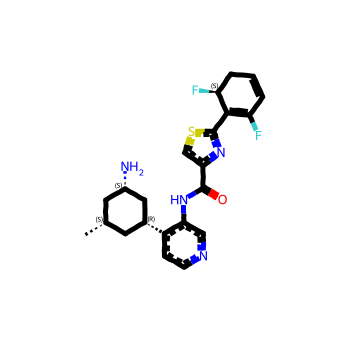 C[C@@H]1C[C@H](N)C[C@H](c2ccncc2NC(=O)c2csc(C3=C(F)C=CC[C@@H]3F)n2)C1